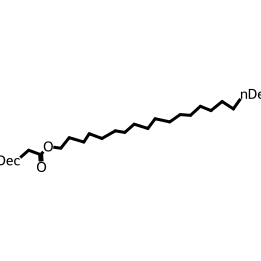 CCCCCCCCCCCCCCCCCCCCCCCCCCCOC(=O)CCCCCCCCCCC